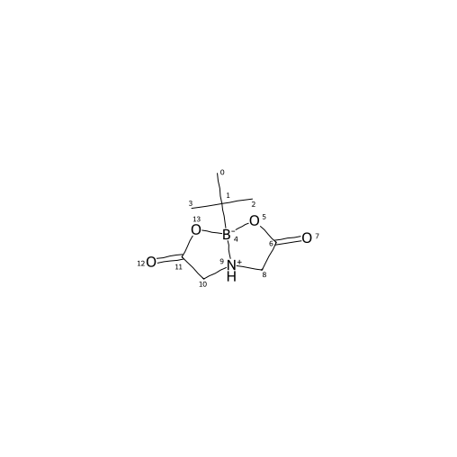 CC(C)(C)[B-]12OC(=O)C[NH+]1CC(=O)O2